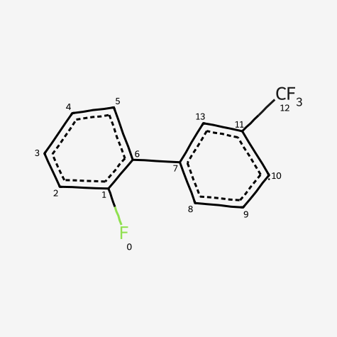 Fc1ccccc1-c1cc[c]c(C(F)(F)F)c1